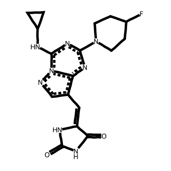 O=C1NC(=O)/C(=C/c2cnn3c(NC4CC4)nc(N4CCC(F)CC4)nc23)N1